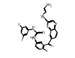 NCCNc1cnc2ccc(C(=O)c3cc(NC(=O)Nc4cc(F)cc(F)c4)ccc3F)cc2n1